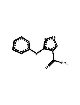 NC(=O)c1c[nH]nc1[CH]c1ccccc1